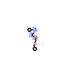 Fc1ccc2c(c1)-c1ncnn1Cc1c(-c3noc(CCOCc4ccccc4)n3)ncn1-2